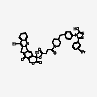 CCc1c2c(nc3ccccc13)-c1cc3c(c(=O)n1C2)COC(=O)C3(CC)OC(=O)CCC(=O)N1CCC(Cc2ccc(-n3c(O)nnc3-c3cccc(C(C)C)c3)cc2)CC1